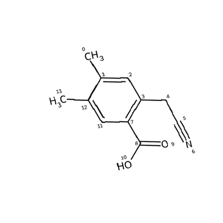 Cc1cc(CC#N)c(C(=O)O)cc1C